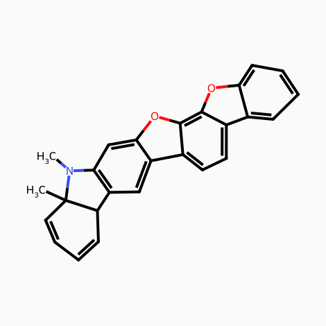 CN1c2cc3oc4c(ccc5c6ccccc6oc54)c3cc2C2C=CC=CC21C